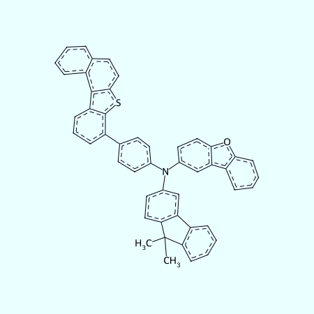 CC1(C)c2ccccc2-c2cc(N(c3ccc(-c4cccc5c4sc4ccc6ccccc6c45)cc3)c3ccc4oc5ccccc5c4c3)ccc21